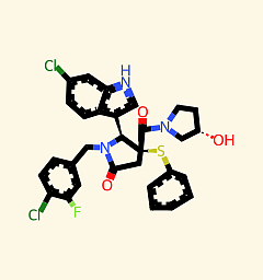 O=C1C[C@@](Sc2ccccc2)(C(=O)N2CC[C@H](O)C2)[C@H](c2c[nH]c3cc(Cl)ccc23)N1Cc1ccc(Cl)c(F)c1